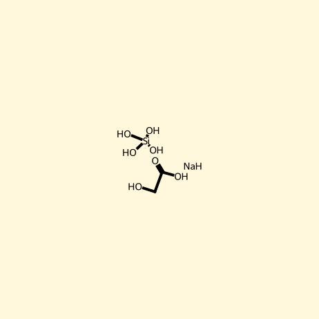 O=C(O)CO.O[Si](O)(O)O.[NaH]